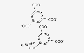 O=C([O-])c1cc(C(=O)[O-])cc(C(=O)[O-])c1.O=C([O-])c1cc(C(=O)[O-])cc(C(=O)[O-])c1.[Fe+2].[Fe+2].[Fe+2]